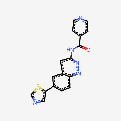 O=C(Nc1cc2cc(-c3cncs3)ccc2nn1)c1ccncc1